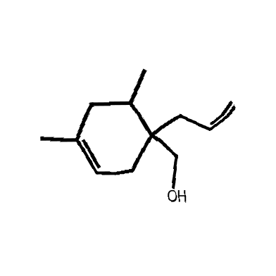 C=CCC1(CO)CC=C(C)CC1C